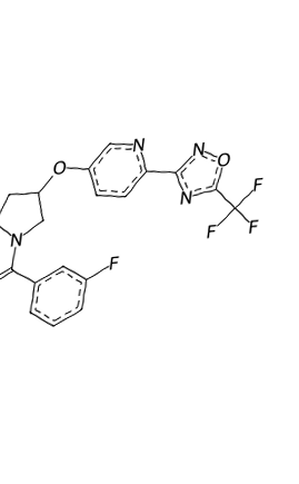 O=C(c1cccc(F)c1)N1CCC(Oc2ccc(-c3noc(C(F)(F)F)n3)nc2)C1